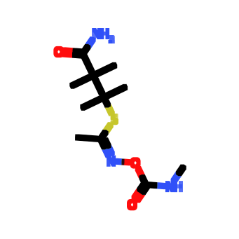 CNC(=O)ON=C(C)SC(C)(C)C(C)(C)C(N)=O